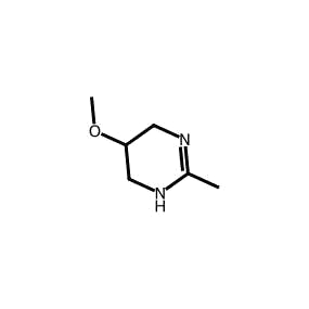 COC1CN=C(C)NC1